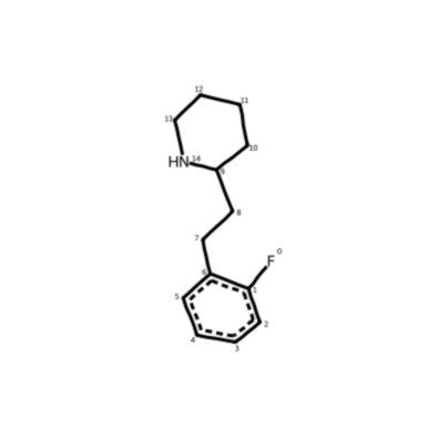 Fc1ccccc1CCC1CCCCN1